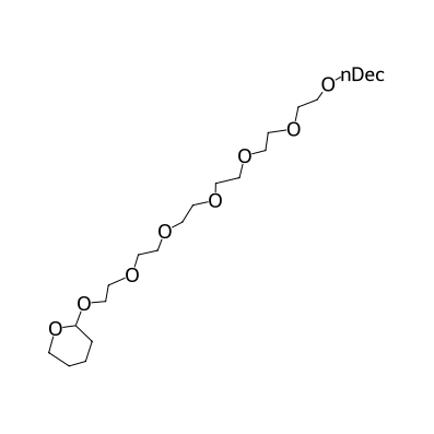 CCCCCCCCCCOCCOCCOCCOCCOCCOCCOC1CCCCO1